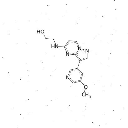 COc1cncc(-c2cnn3ccc(NCCO)nc23)c1